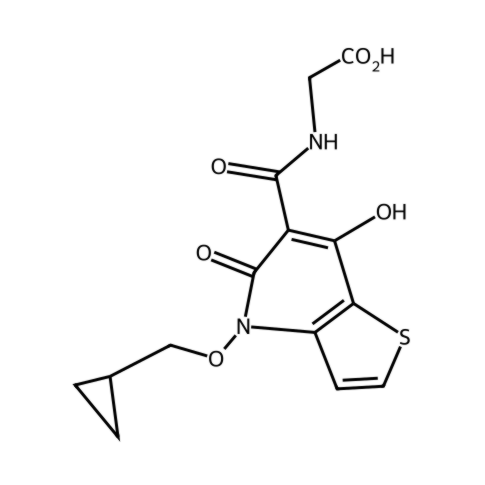 O=C(O)CNC(=O)c1c(O)c2sccc2n(OCC2CC2)c1=O